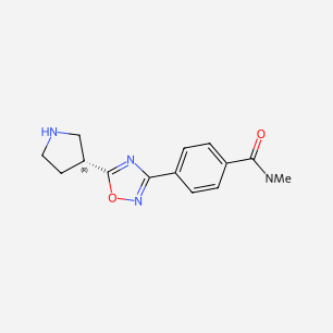 CNC(=O)c1ccc(-c2noc([C@@H]3CCNC3)n2)cc1